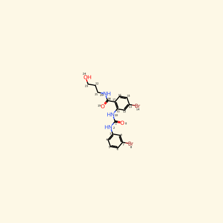 O=C(Nc1cccc(Br)c1)Nc1cc(Br)ccc1C(=O)NCCCO